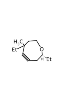 CC[C@@H]1CC#CC(C)(CC)CCO1